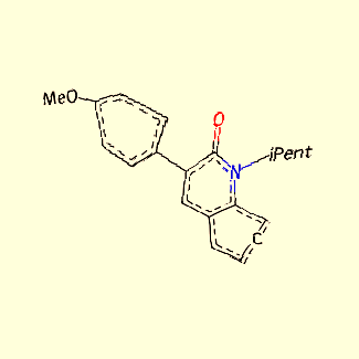 CCCC(C)n1c(=O)c(-c2ccc(OC)cc2)cc2ccccc21